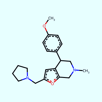 COc1ccc(C2CN(C)Cc3oc(CN4CCCC4)cc32)cc1